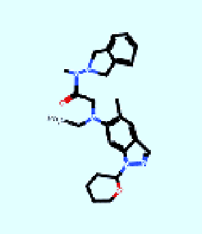 Cc1cc2cnn(C3CCCCO3)c2cc1N(CC(=O)O)CC(=O)N(C)N1Cc2ccccc2C1